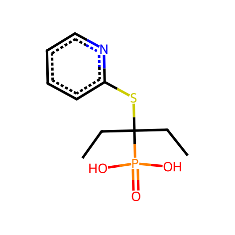 CCC(CC)(Sc1ccccn1)P(=O)(O)O